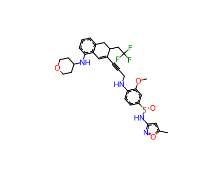 COc1cc([S+]([O-])Nc2cc(C)on2)ccc1NCC#CC1=Cc2c(cccc2NC2CCOCC2)CC1CC(F)(F)F